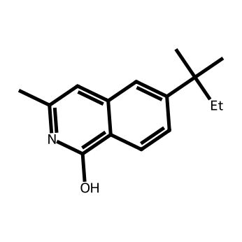 CCC(C)(C)c1ccc2c(O)nc(C)cc2c1